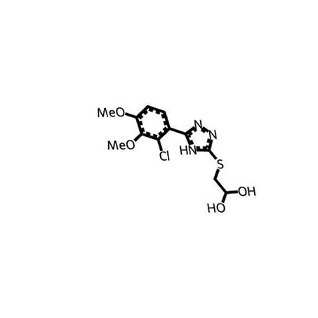 COc1ccc(-c2nnc(SCC(O)O)[nH]2)c(Cl)c1OC